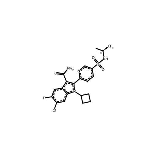 C[C@H](NS(=O)(=O)c1ccc(-c2c(C(N)=O)c3cc(F)c(Cl)cc3n2C2CCC2)nc1)C(F)(F)F